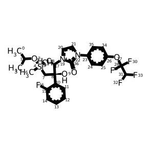 CC(C)O[Si](C)(C)C[C@@](O)(c1ccccc1F)[C@@H](C)n1ccn(-c2ccc(OC(F)(F)C(F)F)cc2)c1=O